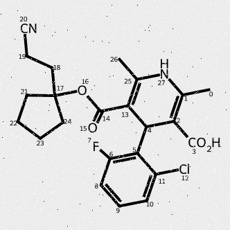 CC1=C(C(=O)O)C(c2c(F)cccc2Cl)C(C(=O)OC2(CCC#N)CCCC2)=C(C)N1